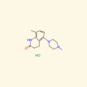 Cc1ccc(N2CCN(C)CC2)c2c1NC(=O)CC2.Cl